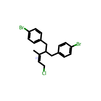 C/C(=C/CCl)C(Cc1ccc(Br)cc1)Cc1ccc(Br)cc1